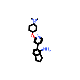 CN(C)C1CCC(Oc2cc(-c3ccc4c(c3N)CCC4)ccn2)CC1